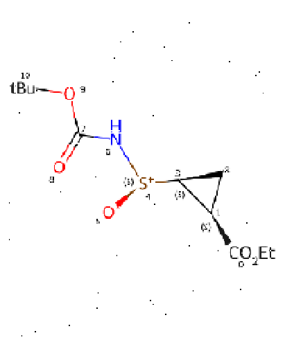 CCOC(=O)[C@@H]1C[C@@H]1[S@@+]([O-])NC(=O)OC(C)(C)C